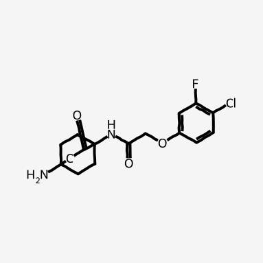 NC12CCC(NC(=O)COc3ccc(Cl)c(F)c3)(CC1)C(=O)C2